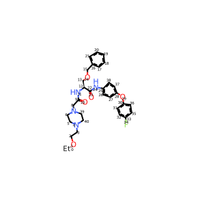 CCOCCN1CCN(CC(=O)N[C@@H](COCc2ccccc2)C(=O)Nc2ccc(Oc3ccc(F)cc3)cc2)CC1